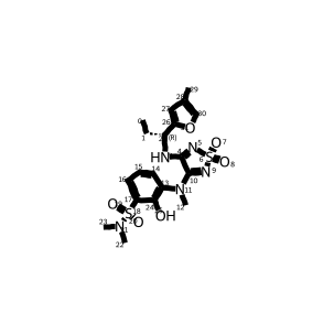 CC[C@@H](NC1=NS(=O)(=O)N=C1N(C)c1cccc(S(=O)(=O)N(C)C)c1O)c1cc(C)co1